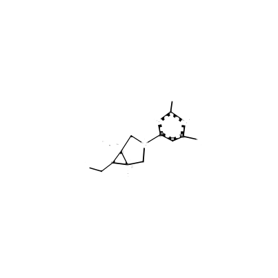 CCOC(=O)CC1[C@H]2CN(c3cc(C(F)(F)F)nc(Cl)n3)C[C@@H]12